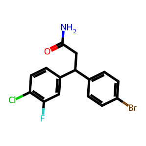 NC(=O)CC(c1ccc(Br)cc1)c1ccc(Cl)c(F)c1